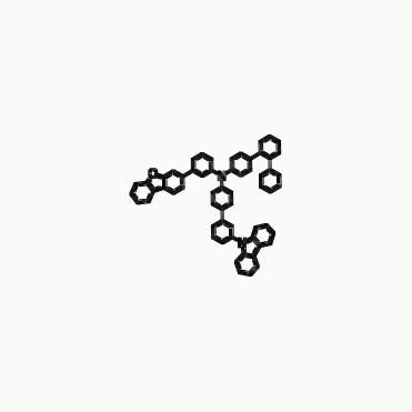 c1ccc(-c2ccccc2-c2ccc(N(c3ccc(-c4cccc(-n5c6ccccc6c6ccccc65)c4)cc3)c3cccc(-c4ccc5c(c4)oc4ccccc45)c3)cc2)cc1